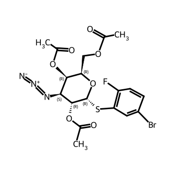 CC(=O)OC[C@H]1O[C@H](Sc2cc(Br)ccc2F)[C@H](OC(C)=O)[C@@H](N=[N+]=[N-])[C@H]1OC(C)=O